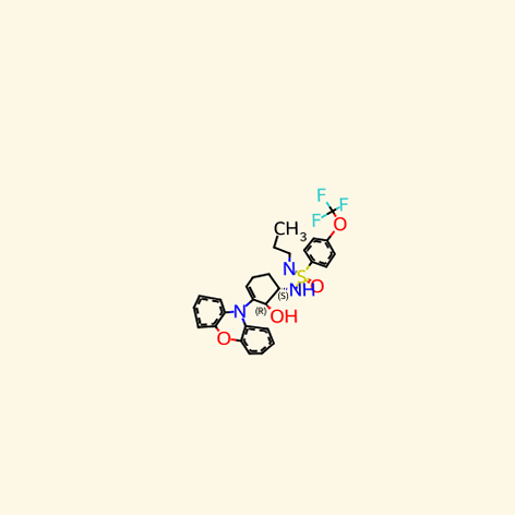 CCCN=S(=O)(N[C@H]1CCC=C(N2c3ccccc3Oc3ccccc32)[C@@H]1O)c1ccc(OC(F)(F)F)cc1